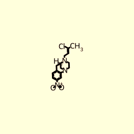 CC(Cl)=CCN1CCN2C[C@H]1Cc1ccc([N+](=O)[O-])cc12